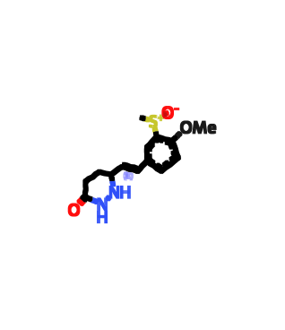 COc1ccc(/C=C/C2CCC(=O)NN2)cc1[S+](C)[O-]